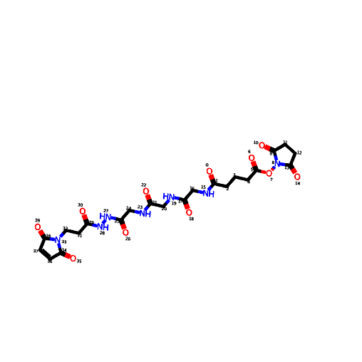 O=C(CCCC(=O)ON1C(=O)CCC1=O)NCC(=O)NCC(=O)NCC(=O)NNC(=O)CCN1C(=O)C=CC1=O